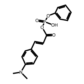 CN(C)c1ccc(C=CC(=O)OP(=O)(O)Oc2ccccc2)cc1